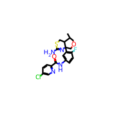 CC1COCC2(c3cc(NC(=O)c4ccc(Cl)cn4)ccc3F)N=C(N)SCC12